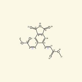 COC(=O)/C=C\c1cc2c(cc1/C=C/C(=O)OC)C(=O)OC2=O